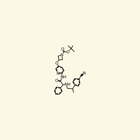 CC(CNC(C(=O)Nc1ccc(OC2CN(C(=O)OC(C)(C)C)C2)cn1)c1ccccc1)c1ccc(C#N)cc1